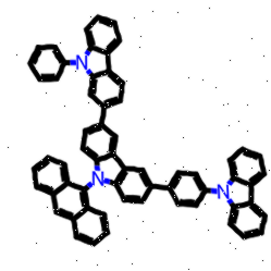 c1ccc(-n2c3ccccc3c3ccc(-c4ccc5c(c4)c4cc(-c6ccc(-n7c8ccccc8c8ccccc87)cc6)ccc4n5-c4c5ccccc5cc5ccccc45)cc32)cc1